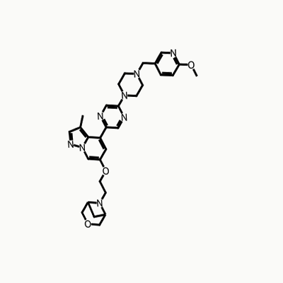 COc1ccc(CN2CCN(c3cnc(-c4cc(OCCN5C6COCC5C6)cn5ncc(C)c45)cn3)CC2)cn1